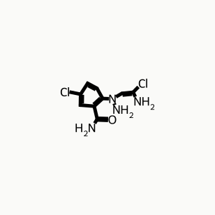 NC(=O)c1cc(Cl)ccc1N(N)/C=C(\N)Cl